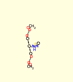 C=CC(=O)OCCCCOc1ccc(C#Cc2ccc(C#Cc3ccc(OCCCCOC(=O)C=C)cc3)c(/C=N/Nc3nc4ccccc4s3)c2)cc1